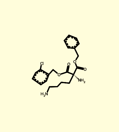 NCCCC[C@](N)(C(=O)OCc1ccccc1)C(=O)OCc1ccccc1Cl